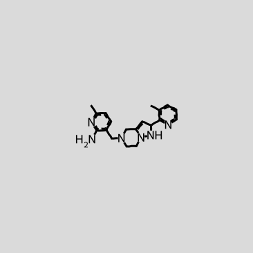 Cc1ccc(CN2CCN3NC(c4ncccc4C)C=C3C2)c(N)n1